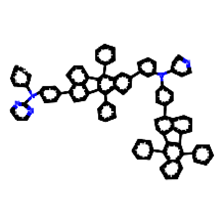 c1ccc(-c2c3c(c(-c4ccccc4)c4ccccc24)-c2ccc(-c4ccc(N(c5ccncc5)c5cccc(-c6ccc7c(-c8ccccc8)c8c(c(-c9ccccc9)c7c6)-c6cccc7c(-c9ccc(N(c%10ccccc%10)c%10ncccn%10)cc9)ccc-8c67)c5)cc4)c4cccc-3c24)cc1